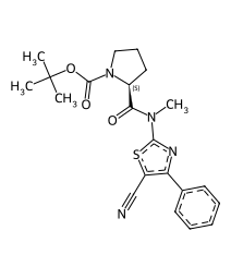 CN(C(=O)[C@@H]1CCCN1C(=O)OC(C)(C)C)c1nc(-c2ccccc2)c(C#N)s1